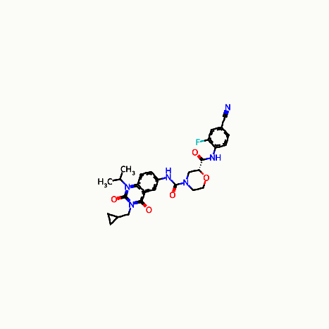 CC(C)n1c(=O)n(CC2CC2)c(=O)c2cc(NC(=O)N3CCO[C@@H](C(=O)Nc4ccc(C#N)cc4F)C3)ccc21